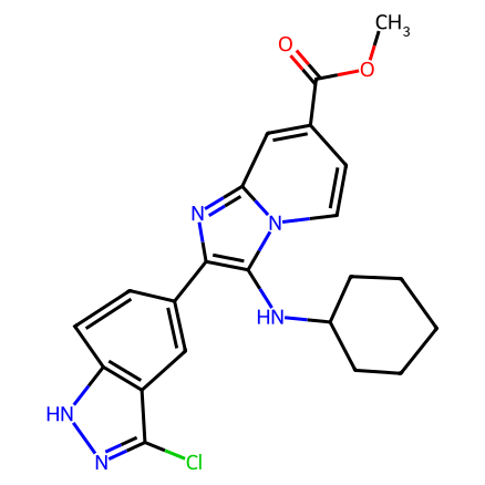 COC(=O)c1ccn2c(NC3CCCCC3)c(-c3ccc4[nH]nc(Cl)c4c3)nc2c1